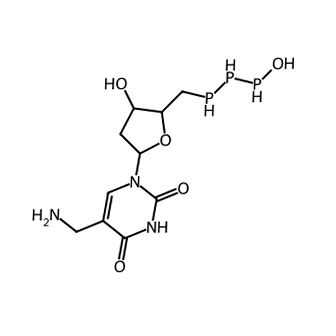 NCc1cn(C2CC(O)C(CPPPO)O2)c(=O)[nH]c1=O